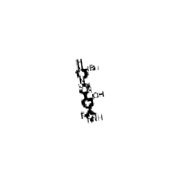 CC(C)(C)[C@H]1CN(c2ncc(-c3ccc(-c4c[nH]nc4F)cc3O)nn2)CCN1